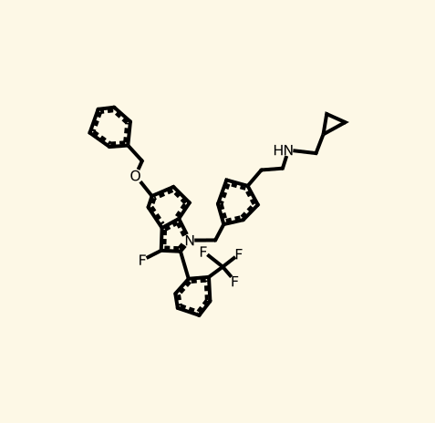 Fc1c(-c2ccccc2C(F)(F)F)n(Cc2ccc(CCNCC3CC3)cc2)c2ccc(OCc3ccccc3)cc12